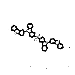 O=S(=O)(c1ccc2c(c1)c1ccccc1n2-c1ccc2oc3ccccc3c2c1)c1ccc2c(c1)c1ccccc1n2-c1ccc2oc3ccccc3c2c1